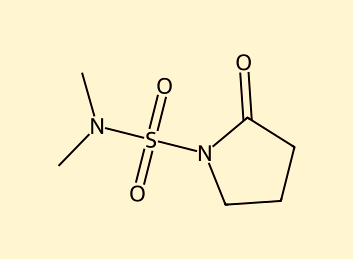 CN(C)S(=O)(=O)N1CCCC1=O